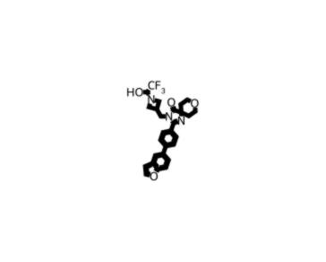 O=C1N(CC2CN(C(O)C(F)(F)F)C2)C(c2ccc(-c3ccc4occc4c3)cc2)=NC12CCOCC2